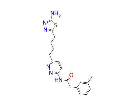 Cc1cccc(CC(=O)Nc2ccc(CCCCc3nnc(N)s3)nn2)c1